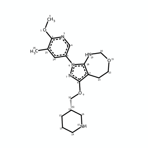 COc1ncc(-n2nc(OC[C@H]3CCCNC3)c3c2NCOCC3)cc1C